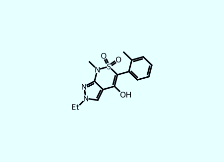 CCn1cc2c(n1)N(C)S(=O)(=O)C(c1ccccc1C)=C2O